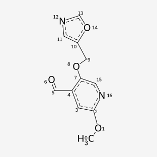 COc1cc(C=O)c(OCc2cnco2)cn1